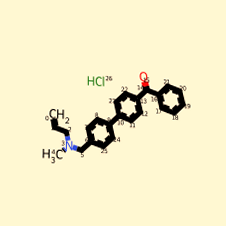 C=CCN(C)Cc1ccc(-c2ccc(C(=O)c3ccccc3)cc2)cc1.Cl